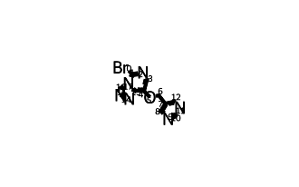 Brc1ncc(OCc2cncnc2)c2nncn12